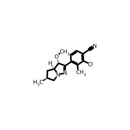 CO[C@@H]1C(c2ccc(C#N)c(Cl)c2C)=NN2C[C@@H](C)C[C@@H]12